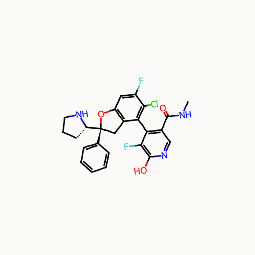 CNC(=O)c1cnc(O)c(F)c1-c1c(Cl)c(F)cc2c1C[C@](c1ccccc1)([C@@H]1CCCN1)O2